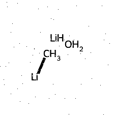 O.[LiH].[Li][CH3]